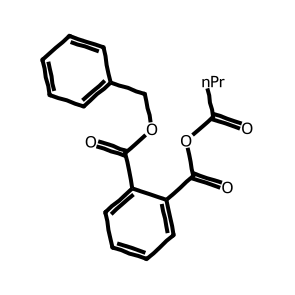 CCCC(=O)OC(=O)c1ccccc1C(=O)OCc1ccccc1